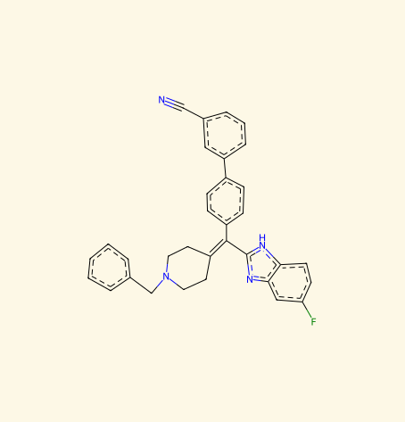 N#Cc1cccc(-c2ccc(C(=C3CCN(Cc4ccccc4)CC3)c3nc4cc(F)ccc4[nH]3)cc2)c1